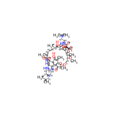 CO[C@H]1/C=C/O[C@@]2(C)Oc3c(C)c(O)c4c(c3C2=O)C2=NC3(CCN(CC(C)C)CC3)NC2=C(NC(=O)/C(C)=C\C=C\[C@H](C)[C@H](O)[C@@H](C)[C@@H](O)[C@@H](C)[C@H](OC(=O)CC(=O)NCCN(C)C)[C@@H]1C)C4=O